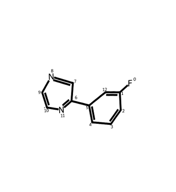 Fc1cccc(-c2cnc[c]n2)c1